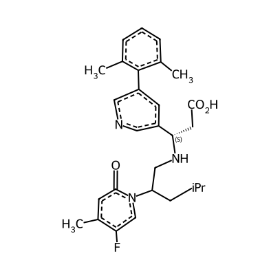 Cc1cc(=O)n(C(CN[C@@H](CC(=O)O)c2cncc(-c3c(C)cccc3C)c2)CC(C)C)cc1F